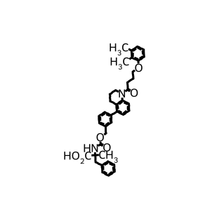 Cc1cccc(OCCCC(=O)N2CCCc3c(-c4cccc(COC(=O)NC(C)(Cc5ccccc5)C(=O)O)c4)cccc32)c1C